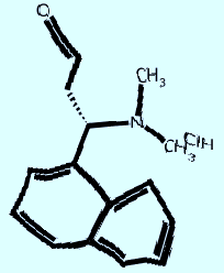 CN(C)[C@@H](CC=O)c1cccc2ccccc12.Cl